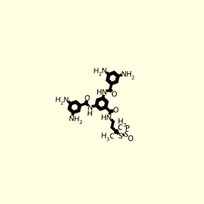 CC(C)(CCNC(=O)c1cc(NC(=O)c2cc(N)cc(N)c2)cc(NC(=O)c2cc(N)cc(N)c2)c1)SS(=O)#P